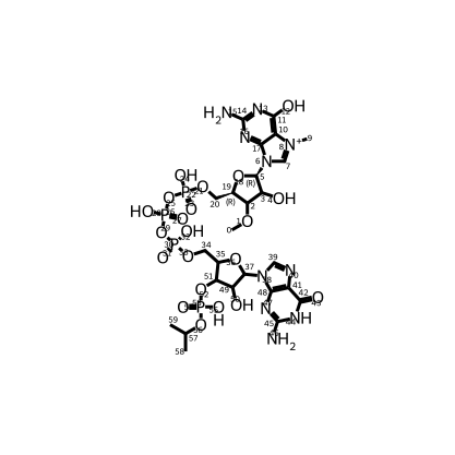 COC1C(O)[C@H](n2c[n+](C)c3c(O)nc(N)nc32)O[C@@H]1COP(=O)(O)OP(=O)(O)OP(=O)(O)OCC1OC(n2cnc3c(=O)[nH]c(N)nc32)C(O)C1OP(=O)(O)OC(C)C